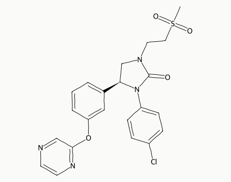 CS(=O)(=O)CCN1C[C@H](c2cccc(Oc3cnccn3)c2)N(c2ccc(Cl)cc2)C1=O